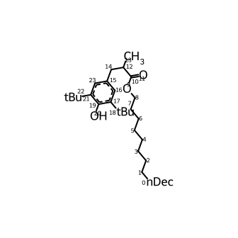 CCCCCCCCCCCCCCCCCCOC(=O)C(C)Cc1cc(C(C)(C)C)c(O)c(C(C)(C)C)c1